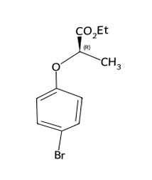 CCOC(=O)[C@@H](C)Oc1ccc(Br)cc1